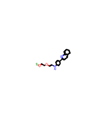 FOCCOCCNc1ccc(-c2ccc3ccccc3n2)cc1